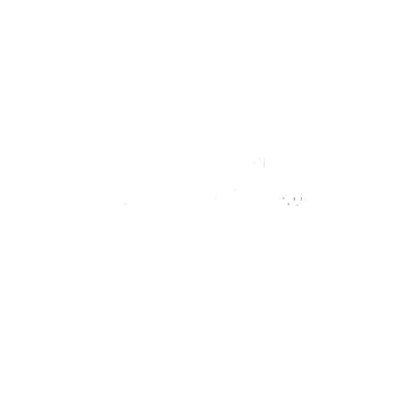 CNCC(O)c1ccc2ccccc2c1